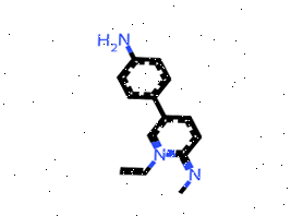 C=Cn1cc(-c2ccc(N)cc2)cc/c1=N/C